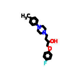 Cc1ccc(N2CCN(CCC(O)COc3ccc(F)cc3)CC2)cc1